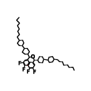 CCCCCCCCC1CCC(C2CCC(C(OC(c3ccc(F)c(F)c3)C3CCC(C4CCC(CCCCCCCC)CC4)CC3)c3ccc(F)c(F)c3)CC2)CC1